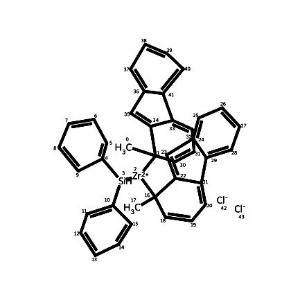 C[C]1([Zr+2]([SiH](c2ccccc2)c2ccccc2)[C]2(C)C=CC=C3C2=Cc2ccccc23)C=CC=C2C1=Cc1ccccc12.[Cl-].[Cl-]